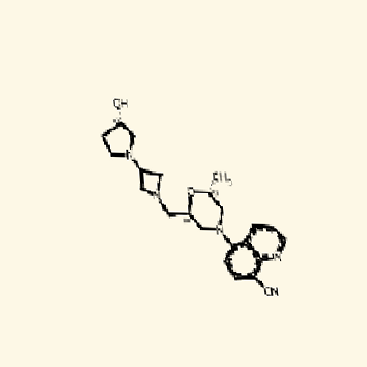 C[C@@H]1CN(c2ccc(C#N)c3ncccc23)C[C@@H](CN2CC(N3CC[C@H](O)C3)C2)O1